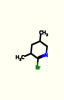 CC1CN=C(Br)C(C)C1